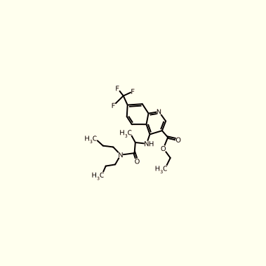 CCCN(CCC)C(=O)C(C)Nc1c(C(=O)OCC)cnc2cc(C(F)(F)F)ccc12